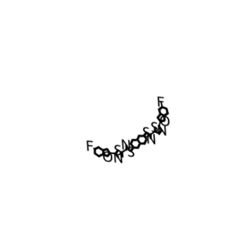 Fc1ccc2oc(-c3ncc(-c4nc5cc6cc7sc(-c8cnc(-c9cc%10cc(F)ccc%10o9)s8)nc7cc6cc5s4)s3)cc2c1